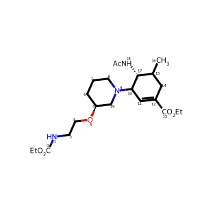 CCOC(=O)NCCO[C@H]1CCCN(C2C=C(C(=O)OCC)CC(C)[C@H]2NC(C)=O)C1